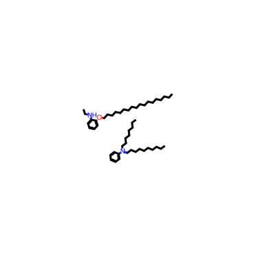 CCCCCCCCCCCCCCCCCCOc1ccccc1NCC.CCCCCCCCCCN(CCCCCCCC)c1ccccc1